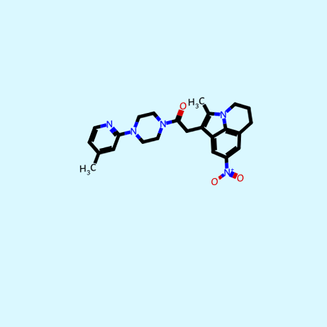 Cc1ccnc(N2CCN(C(=O)Cc3c(C)n4c5c(cc([N+](=O)[O-])cc35)CCC4)CC2)c1